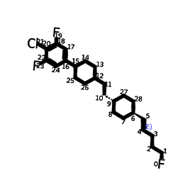 FCCC/C=C/[C@H]1CC[C@H](CCC2CCC(c3cc(F)c(Cl)c(F)c3)CC2)CC1